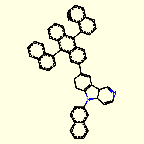 c1ccc2cccc(-c3c4ccccc4c(-c4cccc5ccccc45)c4cc(C5=CC6=C(CC5)N(c5ccc7ccccc7c5)C5C=CN=CC65)ccc34)c2c#1